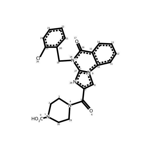 O=C(O)N1CCN(C(=O)c2cn3c4ccccc4c(=O)n(Cc4ccccc4Cl)c3n2)CC1